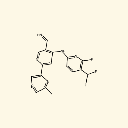 Cc1cncc(-c2cc(Nc3ccc(C(F)F)c(F)n3)c(C=N)cn2)n1